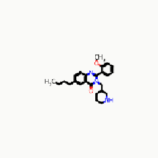 CCCCc1ccc2nc(-c3ccccc3OC)n(CC3CCCNC3)c(=O)c2c1